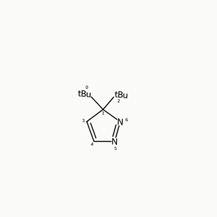 CC(C)(C)C1(C(C)(C)C)C=CN=N1